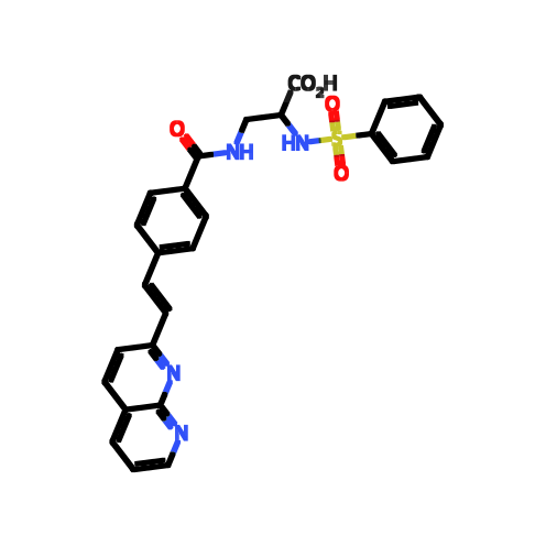 O=C(NCC(NS(=O)(=O)c1ccccc1)C(=O)O)c1ccc(/C=C/c2ccc3cccnc3n2)cc1